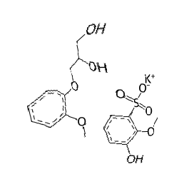 COc1c(O)cccc1S(=O)(=O)[O-].COc1ccccc1OCC(O)CO.[K+]